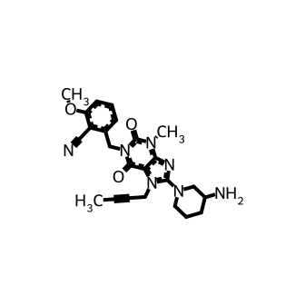 CC#CCn1c(N2CCCC(N)C2)nc2c1c(=O)n(Cc1cccc(OC)c1C#N)c(=O)n2C